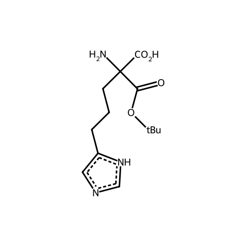 CC(C)(C)OC(=O)C(N)(CCCc1cnc[nH]1)C(=O)O